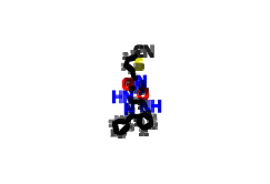 N#Cc1ccc(-c2nnc(NC3N=C(c4ccccc4)c4ccccc4NC3=O)o2)s1